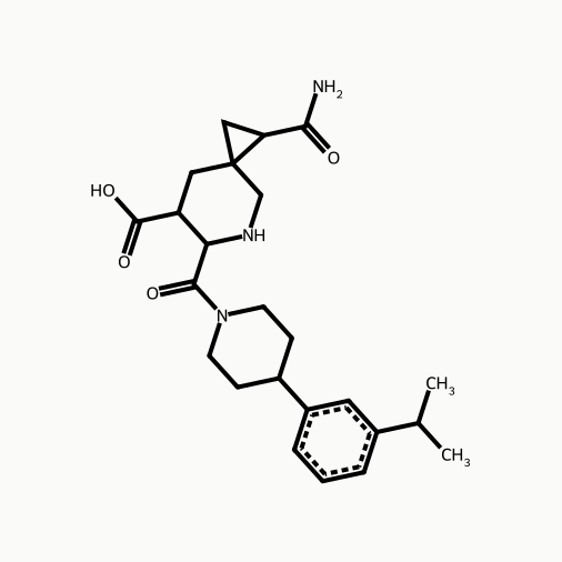 CC(C)c1cccc(C2CCN(C(=O)C3NCC4(CC3C(=O)O)CC4C(N)=O)CC2)c1